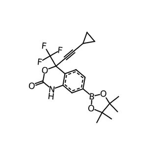 CC1(C)OB(c2ccc3c(c2)NC(=O)OC3(C#CC2CC2)C(F)(F)F)OC1(C)C